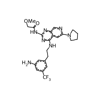 COCC(=O)Nc1nc(NCCc2cc(N)cc(C(F)(F)F)c2)c2cc(N3CCCC3)ncc2n1